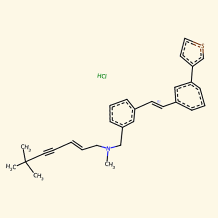 CN(CC=CC#CC(C)(C)C)Cc1cccc(/C=C/c2cccc(-c3ccsc3)c2)c1.Cl